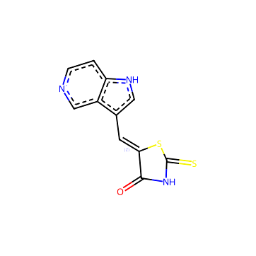 O=C1NC(=S)S/C1=C\c1c[nH]c2ccncc12